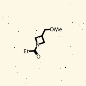 CCC(=O)N1CC(COC)C1